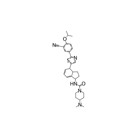 CC(C)Oc1ccc(-c2ncc(C3C=CC=C4C(NC(=O)N5CCC(N(C)C)CC5)CCC43)s2)cc1C#N